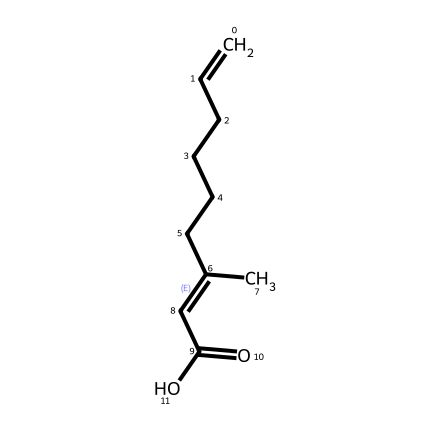 C=CCCCC/C(C)=C/C(=O)O